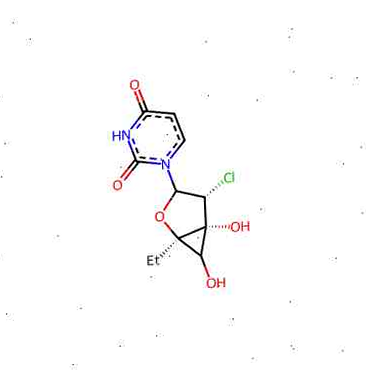 CC[C@]12OC(n3ccc(=O)[nH]c3=O)[C@H](Cl)[C@@]1(O)C2O